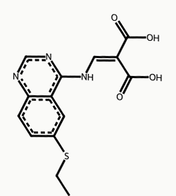 CCSc1ccc2ncnc(NC=C(C(=O)O)C(=O)O)c2c1